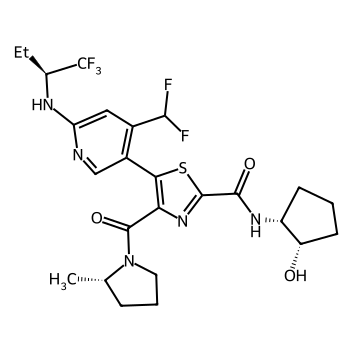 CC[C@H](Nc1cc(C(F)F)c(-c2sc(C(=O)N[C@@H]3CCC[C@@H]3O)nc2C(=O)N2CCC[C@@H]2C)cn1)C(F)(F)F